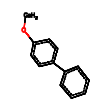 [GaH2][O]c1ccc(-c2ccccc2)cc1